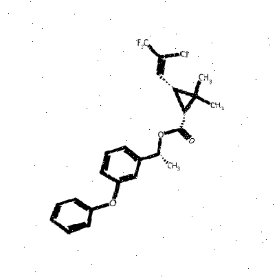 C[C@@H](OC(=O)[C@@H]1[C@H](/C=C(\Cl)C(F)(F)F)C1(C)C)c1cccc(Oc2ccccc2)c1